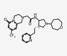 O=C(CN1CCn2c(cc(C(F)(F)F)cc2=O)C1)NC1CN(C2CCCOCC2)C[C@@H]1CCc1ccccn1